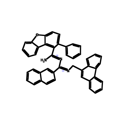 N/C(=N\C(=N/Cc1cc2ccccc2c2ccccc12)c1ccc2ccccc2c1)c1c(-c2ccccc2)ccc2oc3ccccc3c12